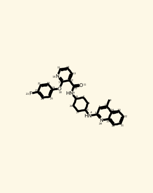 Cc1cc(NC2CCC(NC(=O)c3cccnc3Oc3ccc(F)cc3)CC2)nc2ccccc12